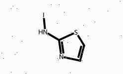 INc1n[c]cs1